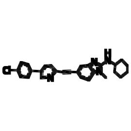 Cn1c(NC2CCCCC2)nc2cc(C#Cc3ccc(-c4ccc(Cl)cc4)cn3)ccc21